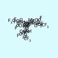 COc1cc(F)ccc1Oc1cc(C(F)(F)C(F)(F)F)ccc1C(=O)Nc1ccn(COP(=O)(OCn2ccc(NC(=O)c3ccc(C(F)(F)C(F)(F)F)cc3Oc3ccc(F)cc3OC)cc2=O)OCn2ccc(NC(=O)c3ccc(C(F)(F)C(F)(F)F)cc3Oc3ccc(F)cc3OC)cc2=O)c(=O)c1